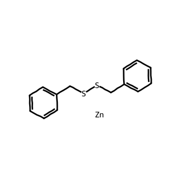 [Zn].c1ccc(CSSCc2ccccc2)cc1